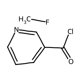 CF.O=C(Cl)c1cccnc1